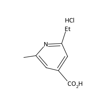 CCc1cc(C(=O)O)cc(C)n1.Cl